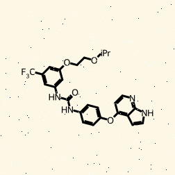 CC(C)OCCOc1cc(NC(=O)Nc2ccc(Oc3ccnc4[nH]ccc34)cc2)cc(C(F)(F)F)c1